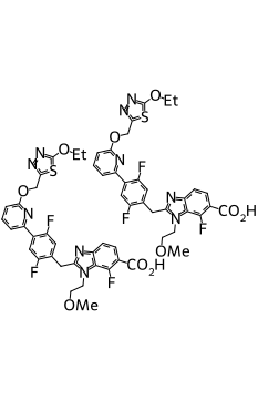 CCOc1nnc(COc2cccc(-c3cc(F)c(Cc4nc5ccc(C(=O)O)c(F)c5n4CCOC)cc3F)n2)s1.CCOc1nnc(COc2cccc(-c3cc(F)c(Cc4nc5ccc(C(=O)O)c(F)c5n4CCOC)cc3F)n2)s1